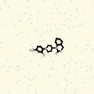 O=C1OCc2ccccc2N1C1CCN(c2ccc([N+](=O)[O-])cc2Cl)CC1